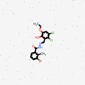 CCOc1cc(Cl)c(Cl)c(C=NNC(=O)c2cccc(Br)c2C)c1O